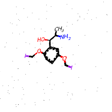 CC(N)[C@H](O)c1cc(OCI)ccc1OCI